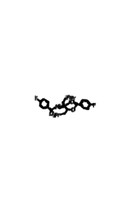 CC(C)CC(OC(=O)c1ccc(F)cc1)C(CNC(=O)c1ccc(F)cc1)(CC(C)C)CC(C)C